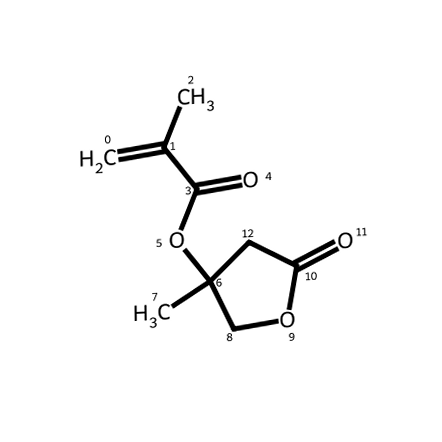 C=C(C)C(=O)OC1(C)COC(=O)C1